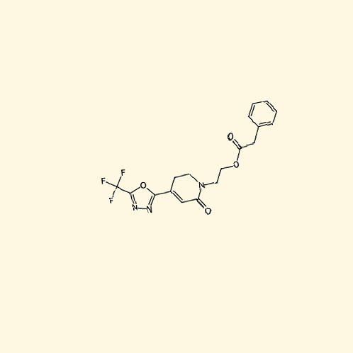 O=C(Cc1ccccc1)OCCN1CCC(c2nnc(C(F)(F)F)o2)=CC1=O